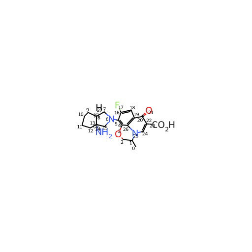 CC1COc2c(N3C[C@@H]4CCCC[C@@]4(N)C3)c(F)cc3c(=O)c(C(=O)O)cn1c23